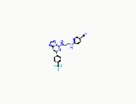 N#Cc1ccc(NCCNc2nc(-c3ccc(C(F)(F)F)cc3)cc3ncnn23)nc1